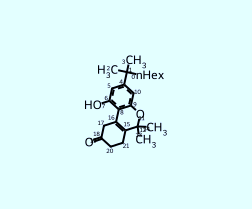 CCCCCCC(C)(C)c1cc(O)c2c(c1)OC(C)(C)C1=C2CC(=O)CC1